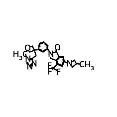 CC1CN(c2cc3c(c(C(F)(F)F)c2)CN(c2cccc(C4(Cc5nncn5C)COC4)c2)C3=O)C1